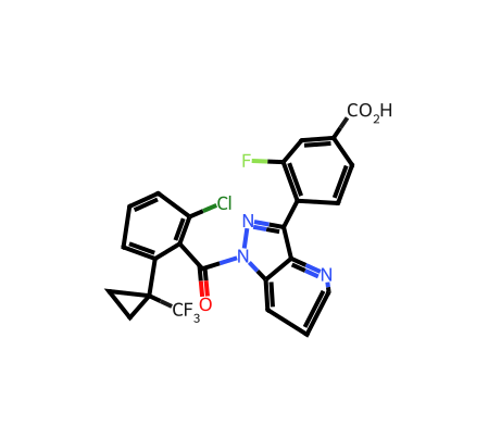 O=C(O)c1ccc(-c2nn(C(=O)c3c(Cl)cccc3C3(C(F)(F)F)CC3)c3cccnc23)c(F)c1